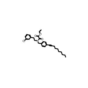 CCCCCCCCC#Cc1ccc(CN(CCc2cccc(Cl)c2)C(=O)C(=O)OCC)cc1